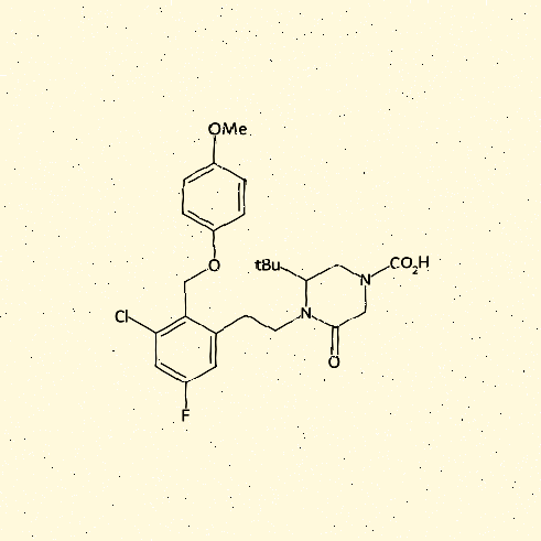 COc1ccc(OCc2c(Cl)cc(F)cc2CCN2C(=O)CN(C(=O)O)CC2C(C)(C)C)cc1